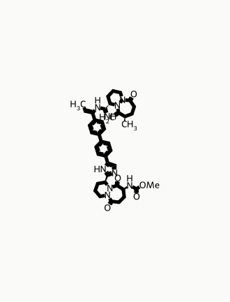 C=C1[C@@H](C)CCC(=O)N2CCC[C@@H](C(=N)N/C(=C\C)c3ccc(-c4ccc(-c5cnc([C@@H]6CCCN7C(=O)CC[C@H](NC(=O)OC)C(=O)N67)[nH]5)cc4)cc3)N12